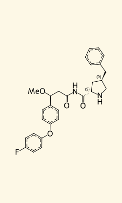 COC(CC(=O)NC(=O)[C@@H]1C[C@@H](Cc2ccccc2)CN1)c1ccc(Oc2ccc(F)cc2)cc1